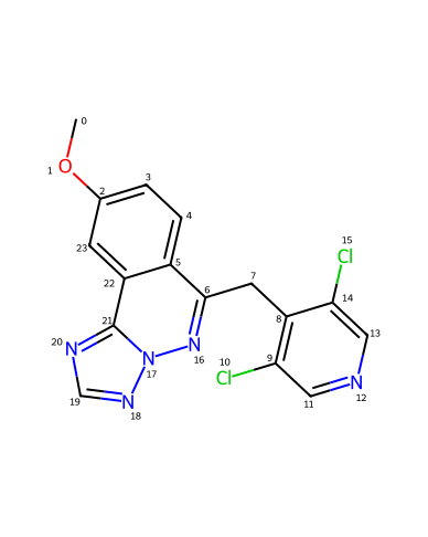 COc1ccc2c(Cc3c(Cl)cncc3Cl)nn3ncnc3c2c1